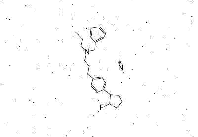 CC#N.CCCN(CCCc1ccc(C2CCCC2F)cc1)Cc1ccccc1